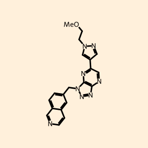 COCCn1cc(-c2cnc3nnn(Cc4ccc5cnccc5c4)c3n2)cn1